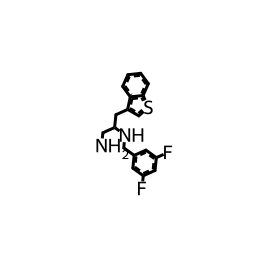 NCC(Cc1csc2ccccc12)NCc1cc(F)cc(F)c1